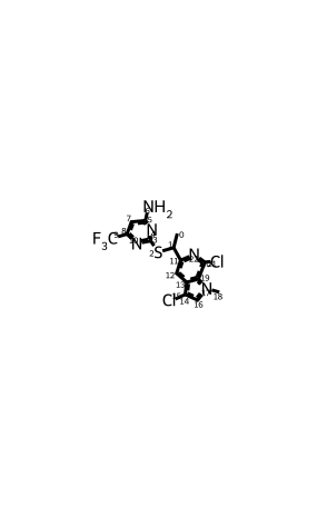 CC(Sc1nc(N)cc(C(F)(F)F)n1)c1cc2c(Cl)cn(C)c2c(Cl)n1